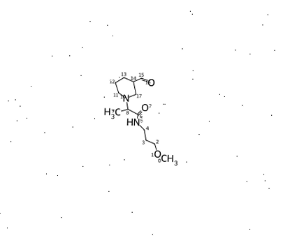 COCCCNC(=O)C(C)N1CCCC(C=O)C1